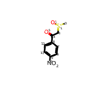 C[S+]([O-])CC(=O)c1ccc([N+](=O)[O-])cc1